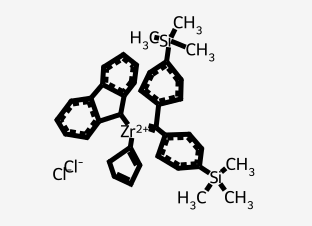 C[Si](C)(C)c1ccc([C](c2ccc([Si](C)(C)C)cc2)=[Zr+2]([C]2=CC=CC2)[CH]2c3ccccc3-c3ccccc32)cc1.[Cl-].[Cl-]